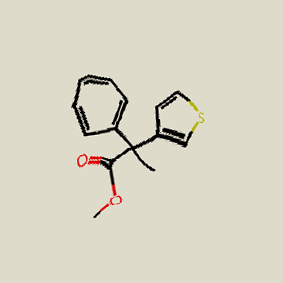 COC(=O)C(C)(c1ccccc1)c1ccsc1